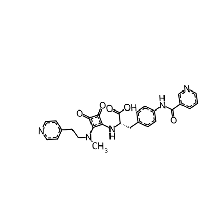 CN(CCc1ccncc1)c1c(N[C@@H](Cc2ccc(NC(=O)c3cccnc3)cc2)C(=O)O)c(=O)c1=O